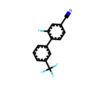 N#Cc1ccc(-c2cccc(C(F)(F)F)c2)c(F)c1